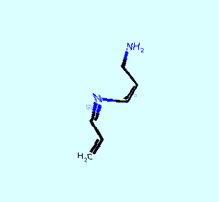 C=C/C=N\C=C/CN